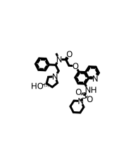 CN(C(=O)COc1ccc(NS(=O)(=O)N2CCCCC2)c2ncccc12)C(CN1CC[C@H](O)C1)c1ccccc1